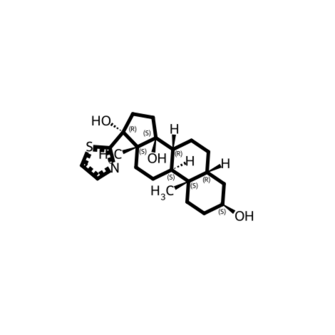 C[C@]12CC[C@H](O)C[C@H]1CC[C@@H]1[C@@H]2CC[C@]2(C)[C@@](O)(c3nccs3)CC[C@]12O